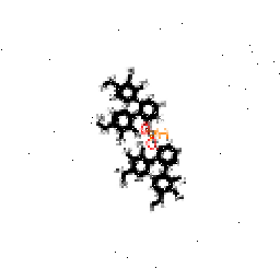 CCc1ccc(-c2cccc(OPOc3cccc(-c4ccc(CC)c(C)c4C)c3-c3ccc(CC)c(C)c3C)c2-c2ccc(CC)c(C)c2C)c(C)c1C